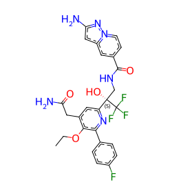 CCOc1c(CC(N)=O)cc([C@@](O)(CNC(=O)c2ccn3nc(N)cc3c2)C(F)(F)F)nc1-c1ccc(F)cc1